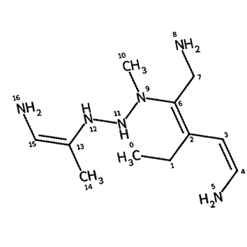 CCC(/C=C\N)=C(/CN)N(C)NN/C(C)=C\N